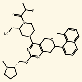 Cc1cccc2cccc(C3Cc4nc(OC[C@@H]5CCCN5C)nc(N5CCN(C(=O)C(C)F)[C@@H](CC#N)C5)c4CO3)c12